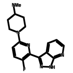 CNC1CCN(c2ccc(F)c(-c3n[nH]c4ncccc34)n2)CC1